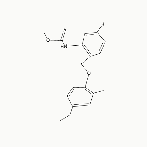 CCc1ccc(OCc2ccc(I)cc2NC(=S)OC)c(C)c1